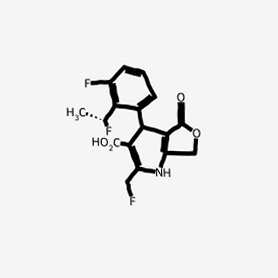 C[C@@H](F)c1c(F)cccc1C1C(C(=O)O)=C(CF)NC2=C1C(=O)OC2